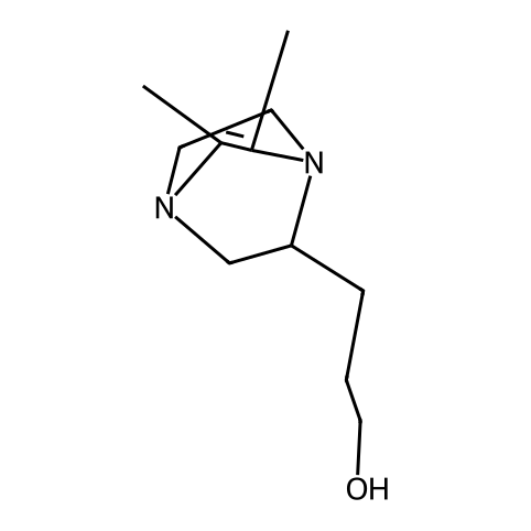 CC1=C(C)N2CCN1CC2CCCO